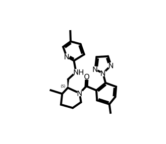 Cc1ccc(NC[C@@H]2C(C)CCCN2C(=O)c2cc(C)ccc2-n2nccn2)nc1